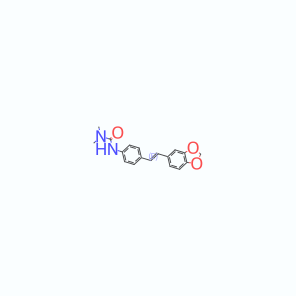 CN(C)C(=O)Nc1ccc(/C=C/c2ccc3c(c2)OCO3)cc1